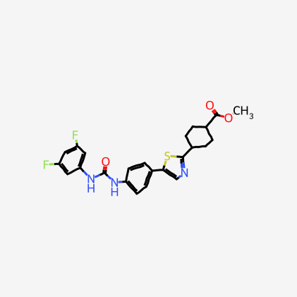 COC(=O)C1CCC(c2ncc(-c3ccc(NC(=O)Nc4cc(F)cc(F)c4)cc3)s2)CC1